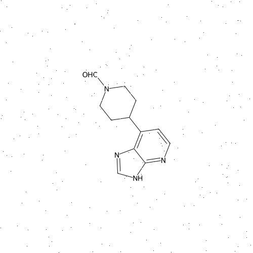 O=CN1CCC(c2ccnc3[nH]cnc23)CC1